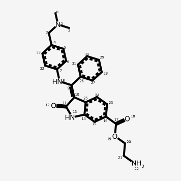 CN(C)Cc1ccc(N/C(=C2\C(=O)Nc3cc(C(=O)OCCN)ccc32)c2ccccc2)cc1